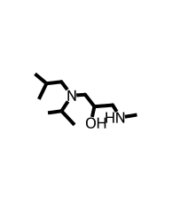 CNCC(O)CN(CC(C)C)C(C)C